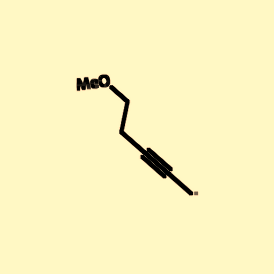 [CH2]C#CCCOC